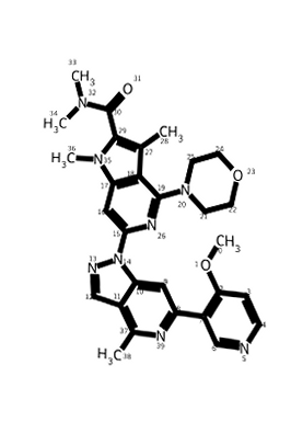 COc1ccncc1-c1cc2c(cnn2-c2cc3c(c(N4CCOCC4)n2)c(C)c(C(=O)N(C)C)n3C)c(C)n1